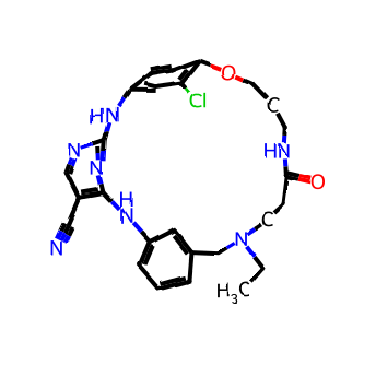 CCN1CCC(=O)NCCCOc2ccc(cc2Cl)Nc2ncc(C#N)c(n2)Nc2cccc(c2)C1